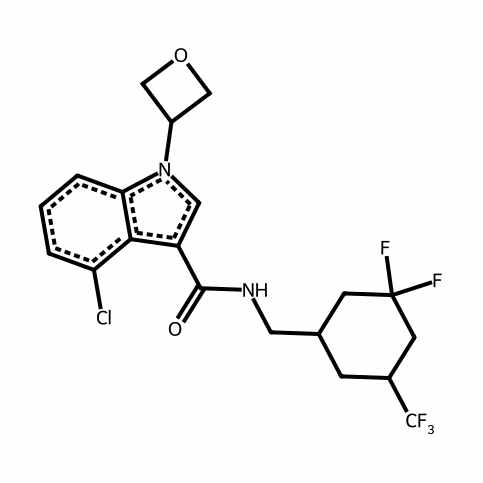 O=C(NCC1CC(C(F)(F)F)CC(F)(F)C1)c1cn(C2COC2)c2cccc(Cl)c12